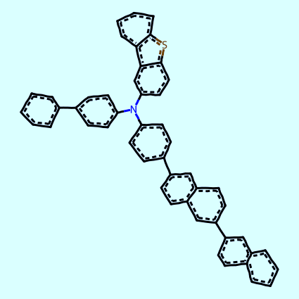 c1ccc(-c2ccc(N(c3ccc(-c4ccc5cc(-c6ccc7ccccc7c6)ccc5c4)cc3)c3ccc4sc5ccccc5c4c3)cc2)cc1